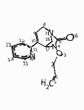 C=CCON1C(=O)N2CC=C(c3ccccn3)C1C2